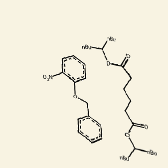 CCCCC(CCCC)OC(=O)CCCCC(=O)OC(CCCC)CCCC.O=[N+]([O-])c1ccccc1OCc1ccccc1